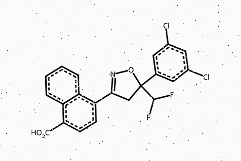 O=C(O)c1ccc(C2=NOC(c3cc(Cl)cc(Cl)c3)(C(F)F)C2)c2ccccc12